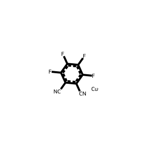 N#Cc1c(F)c(F)c(F)c(F)c1C#N.[Cu]